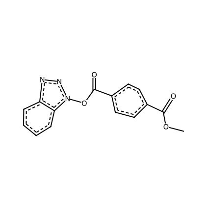 COC(=O)c1ccc(C(=O)On2nnc3ccccc32)cc1